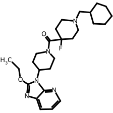 CCOc1nc2cccnc2n1C1CCN(C(=O)C2(F)CCN(CC3CCCCC3)CC2)CC1